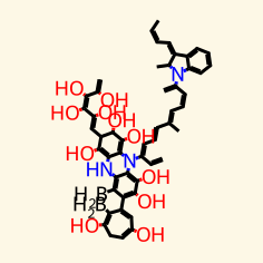 BC1=C(O)CC=C(O)C=C1c1c(B)c2c(c(O)c1O)N(/C(C=C)=C/C=C/C(C)=C/C=C\C(=C)N1c3ccccc3/C(=C/C=C\C)C1C)C1=C(O)C(O)C(/C=C(O)/C(O)=C(/O)C(=C)O)C(O)=C1N2